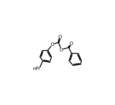 CCCc1ccc(OC(=O)OC(=O)c2ccccc2)cc1